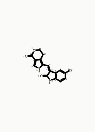 O=C1Nc2ccc(Br)cc2/C1=C/c1[nH]cc2c1CCOC2=O